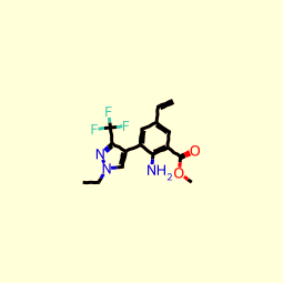 C=Cc1cc(C(=O)OC)c(N)c(-c2cn(CC)nc2C(F)(F)F)c1